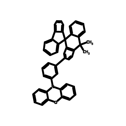 CC1(C)c2ccccc2C2(c3ccccc3-c3ccccc32)c2cc(-c3cccc(N4c5ccccc5Oc5ccccc54)c3)ccc21